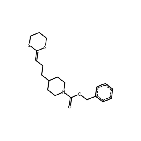 O=C(OCc1ccccc1)N1CCC(CCC=C2SCCCS2)CC1